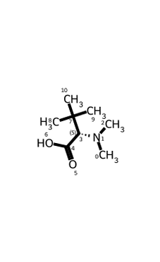 CN(C)[C@H](C(=O)O)C(C)(C)C